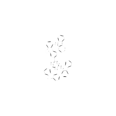 C1=Cc2c(c3ccccc3n2-c2cccc3oc4cc(-c5nc(-c6cccc7oc8ccccc8c67)nc(-n6c7ccccc7c7ccccc76)n5)ccc4c23)CC1